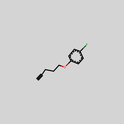 C#CCCCOc1ccc(F)cc1